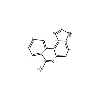 NC(=O)c1ccccc1-c1cccc2[nH]ccc12